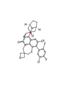 C=CC(=O)N1[C@@H]2CC[C@H]1CN(c1nc(=O)n3c4c(c(-c5cc(Cl)c(F)cc5F)c(C(F)(F)F)cc14)SCC1(COC1)C3)C2